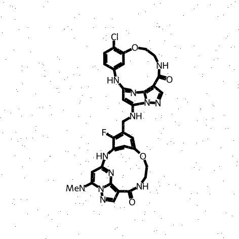 CNc1cc2nc3c(cnn13)C(=O)NCCOc1cc(CNc3cc4nc5c(cnn35)C(=O)NCCOc3cc(ccc3Cl)N4)c(F)c(c1)N2